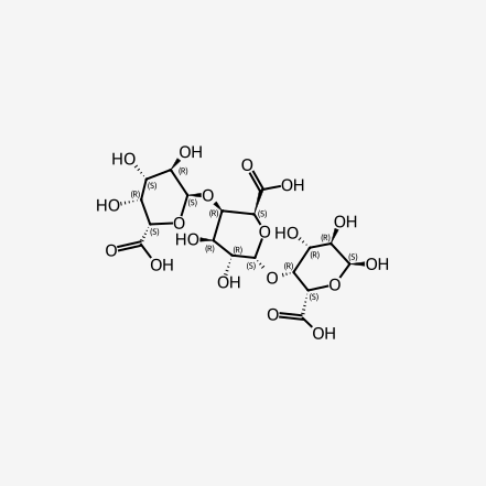 O=C(O)[C@H]1O[C@H](O[C@@H]2[C@H](O)[C@@H](O)[C@@H](O[C@@H]3[C@H](O)[C@@H](O)[C@@H](O)O[C@@H]3C(=O)O)O[C@@H]2C(=O)O)[C@H](O)[C@@H](O)[C@H]1O